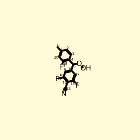 Cc1ccc(C(OO)c2cc(F)c(C#N)c(F)c2)c(F)c1